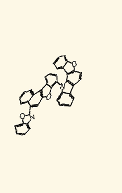 c1ccc2oc(-c3cc4oc5c(-n6c7ccccc7c7ccc8oc9ccccc9c8c76)cccc5c4c4ccccc34)nc2c1